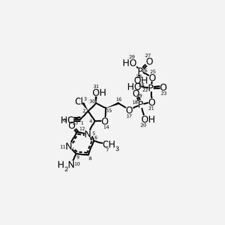 C#C[C@@]1(Cl)C(n2c(C)cc(N)nc2=O)O[C@H](COP(=O)(O)OP(=O)(O)OP(=O)(O)O)[C@@H]1O